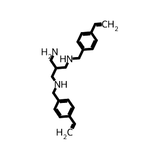 C=Cc1ccc(CNCC(CN)CNCc2ccc(C=C)cc2)cc1